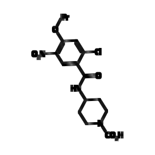 CC(C)Oc1cc(Cl)c(C(=O)NC2CCN(C(=O)O)CC2)cc1[N+](=O)[O-]